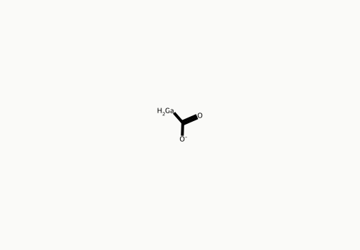 O=[C]([O-])[GaH2]